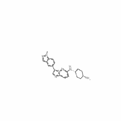 Cn1ncc2cc(-c3cnc4ccc(N[C@H]5CC[C@H](N)CC5)nn34)ccc21